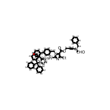 CCCc1nc(CC)c(C(=O)OCC#CN(C=O)Cc2ccccc2)n1Cc1ccc(-c2ccccc2-c2nnnn2C(c2ccccc2)(c2ccccc2)c2ccccc2)cc1